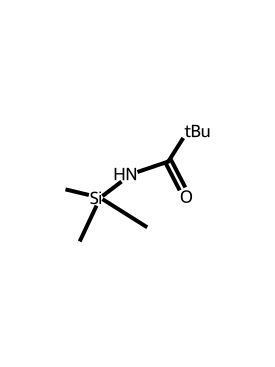 CC(C)(C)C(=O)N[Si](C)(C)C